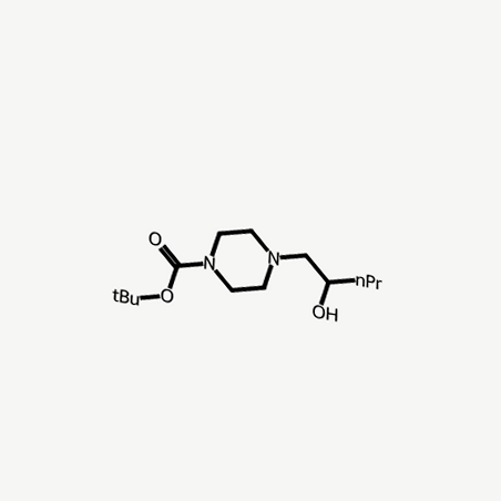 CCCC(O)CN1CCN(C(=O)OC(C)(C)C)CC1